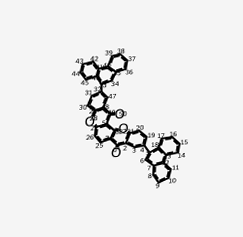 O=c1c2cc(-c3cc4ccccc4c4ccccc34)ccc2oc2c1ccc1oc3ccc(-c4cc5ccccc5c5ccccc45)cc3c(=O)c12